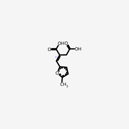 Cc1ccc(/C=C(\CC(=O)O)C(=O)O)o1